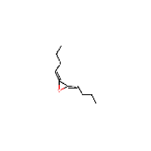 CCCC=C1OC1=CCCC